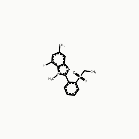 CCS(=O)(=O)c1ccccc1-c1nc2cc(C)cc(Br)c2n1C